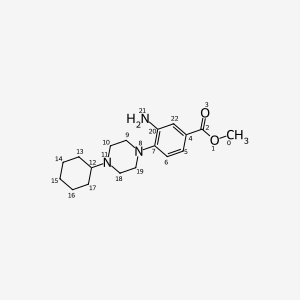 COC(=O)c1ccc(N2CCN(C3CCCCC3)CC2)c(N)c1